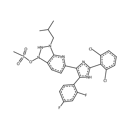 CC(C)CN1NN(OS(C)(=O)=O)c2ccc(-c3nc(-c4c(Cl)cccc4Cl)[nH]c3-c3ccc(F)cc3F)nc21